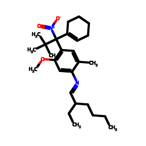 CCCCC(/C=N/c1cc(OC)c(C(C2=CCCCC2)([N+](=O)[O-])C(C)(C)C)cc1C)CC